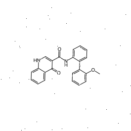 COc1ccccc1-c1ccccc1NC(=O)c1c[nH]c2ccccc2c1=O